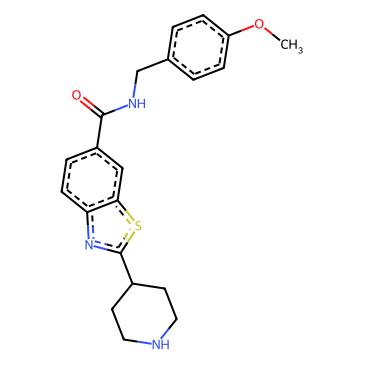 COc1ccc(CNC(=O)c2ccc3nc(C4CCNCC4)sc3c2)cc1